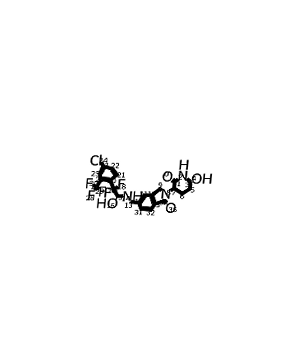 O=C1NC(O)CCC1N1Cc2cc(CN[C@H](O)C(F)(F)c3ccc(Cl)cc3C(F)(F)F)ccc2C1=O